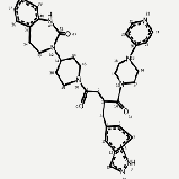 O=C(CC(Cc1ccc2[nH]ncc2c1)C(=O)N1CCN(c2ccncc2)CC1)N1CCC(N2CCc3ccccc3NC2=O)CC1